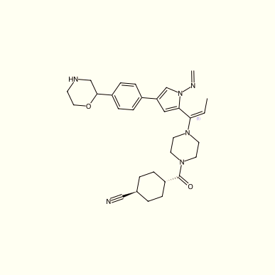 C=Nn1cc(-c2ccc(C3CNCCO3)cc2)cc1/C(=C\C)N1CCN(C(=O)[C@H]2CC[C@H](C#N)CC2)CC1